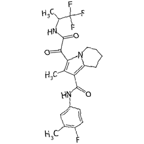 Cc1cc(NC(=O)c2c(C)c(C(=O)C(=O)NC(C)C(F)(F)F)n3c2CCCC3)ccc1F